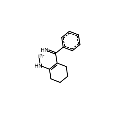 CC(C)NC1=C(C(=N)c2ccccc2)CCCC1